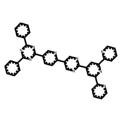 c1ccc(-c2nc(-c3ccccc3)nc(-c3ccc(-c4cnc(-c5cc(-c6ccccn6)nc(-c6ccccn6)c5)nc4)nc3)n2)cc1